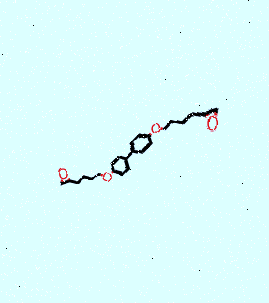 c1cc(-c2ccc(OCCCCC3CO3)cc2)ccc1OCCCCC1CO1